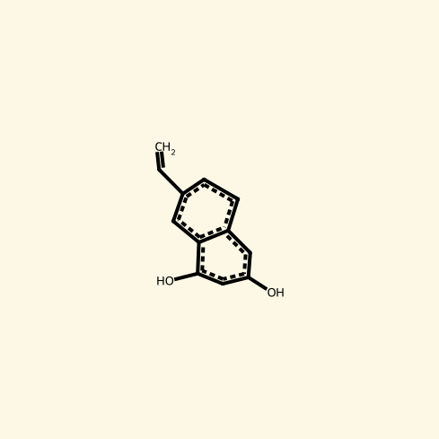 C=Cc1ccc2cc(O)cc(O)c2c1